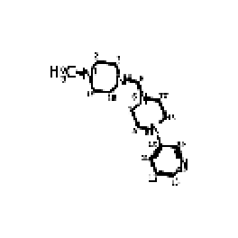 CN1CCN(CN2CCN(c3cccnc3)CC2)CC1